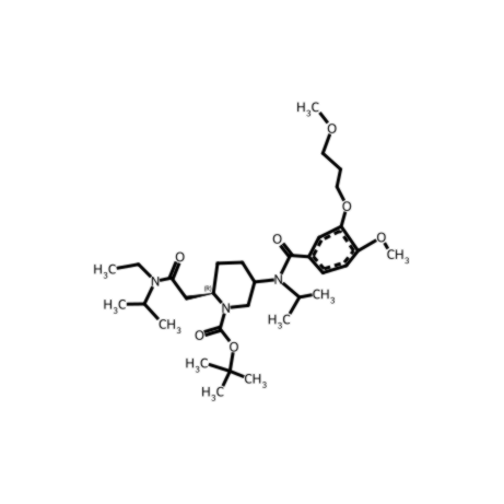 CCN(C(=O)C[C@H]1CCC(N(C(=O)c2ccc(OC)c(OCCCOC)c2)C(C)C)CN1C(=O)OC(C)(C)C)C(C)C